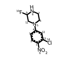 O=[N+]([O-])c1ccc(N2CCNC(F)C2)cc1Cl